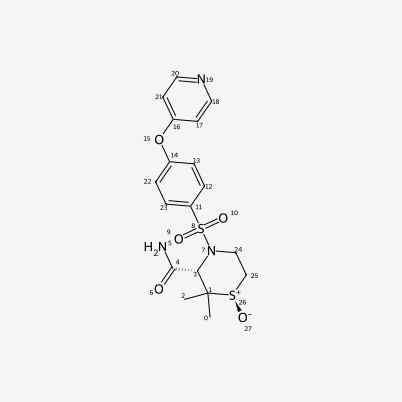 CC1(C)[C@H](C(N)=O)N(S(=O)(=O)c2ccc(Oc3ccncc3)cc2)CC[S@@+]1[O-]